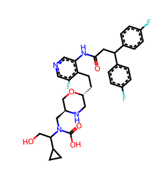 O=C(CC(c1ccc(F)cc1)c1ccc(F)cc1)Nc1cncc(F)c1CC[C@@H]1CN[C@@H](CN(C(=O)O)C(CO)C2CC2)CO1